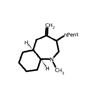 C=C1C[C@@H]2CCCC[C@@H]2N(C)CC1CCCCC